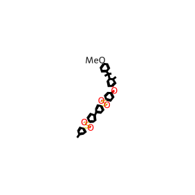 COc1ccc(C(C)(C)C2C=CC(Oc3ccc(S(=O)(=O)c4ccc(-c5ccc(S(=O)(=O)c6ccc(C)cc6)cc5)cc4)cc3)=CC2C)cc1